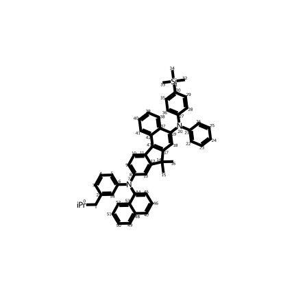 CC(C)Cc1cccc(N(c2ccc3c(c2)C(C)(C)c2cc(N(c4ccccc4)c4ccc([Si](C)(C)C)cc4)c4ccccc4c2-3)c2cccc3ccccc23)c1